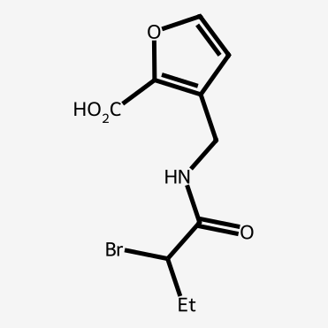 CCC(Br)C(=O)NCc1ccoc1C(=O)O